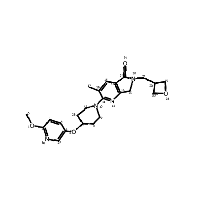 COc1ccc(OC2CCN(c3nc4c(cc3C)C(=O)N(CC3COC3)C4)CC2)cn1